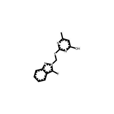 Cc1cc(O)nc(SCn2nc3ccccc3c2F)n1